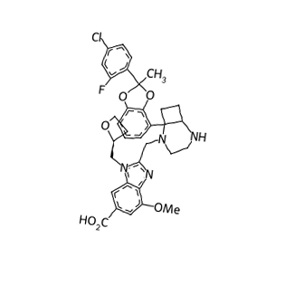 COc1cc(C(=O)O)cc2c1nc(CN1CCNC3CCC31c1cccc3c1OC(C)(c1ccc(Cl)cc1F)O3)n2C[C@@H]1CCO1